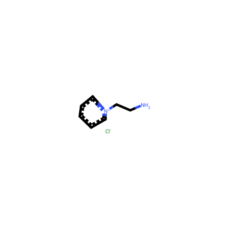 NCC[n+]1ccccc1.[Cl-]